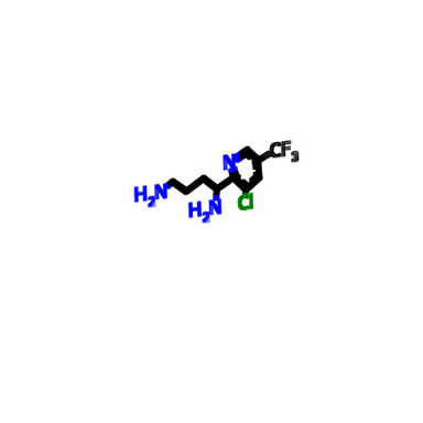 NCCCC(N)c1ncc(C(F)(F)F)cc1Cl